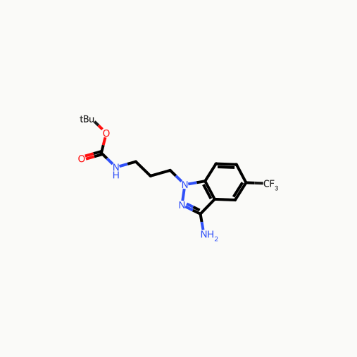 CC(C)(C)OC(=O)NCCCn1nc(N)c2cc(C(F)(F)F)ccc21